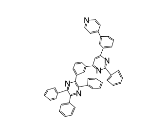 c1ccc(-c2nc(-c3cccc(-c4ccncc4)c3)cc(-c3cccc(-c4nc(-c5ccccc5)c(-c5ccccc5)nc4-c4ccccc4)c3)n2)cc1